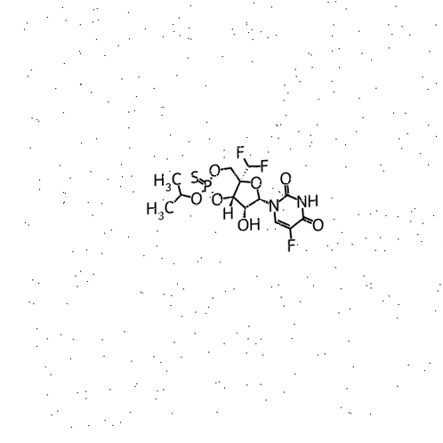 CC(C)OP1(=S)OC[C@@]2(C(F)F)O[C@@H](n3cc(F)c(=O)[nH]c3=O)[C@@H](O)[C@@H]2O1